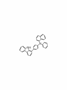 c1ccc(N(c2ccc(-c3cccc4c3[nH]c3ccccc34)cc2)c2cccc3ccccc23)cc1